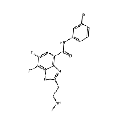 CNCCc1nc2c(C(=O)Nc3cccc(Br)c3)cc(F)c(F)c2[nH]1